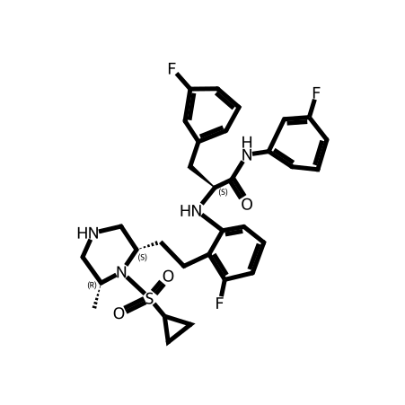 C[C@@H]1CNC[C@H](CCc2c(F)cccc2N[C@@H](Cc2cccc(F)c2)C(=O)Nc2cccc(F)c2)N1S(=O)(=O)C1CC1